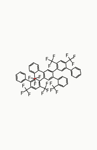 FC(F)(F)c1cc(C(F)(F)F)c(-c2cc(-c3ccccc3C(F)(F)F)c(-c3cc(-c4ccccc4)c(C(F)(F)F)cc3C(F)(F)F)cc2-c2ccccc2C(F)(F)F)cc1-c1ccccc1